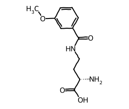 COc1cccc(C(=O)NCC[C@H](N)C(=O)O)c1